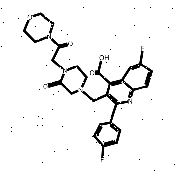 O=C(O)c1c(CN2CCN(CC(=O)N3CCOCC3)C(=O)C2)c(-c2ccc(F)cc2)nc2ccc(F)cc12